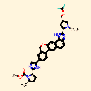 C[C@H]1CC[C@@H](c2ncc(-c3ccc4c(c3)COc3cc5c(ccc6nc([C@@H]7C[C@H](COC(F)F)CN7C(=O)O)[nH]c65)cc3-4)[nH]2)N1C(=O)OC(C)(C)C